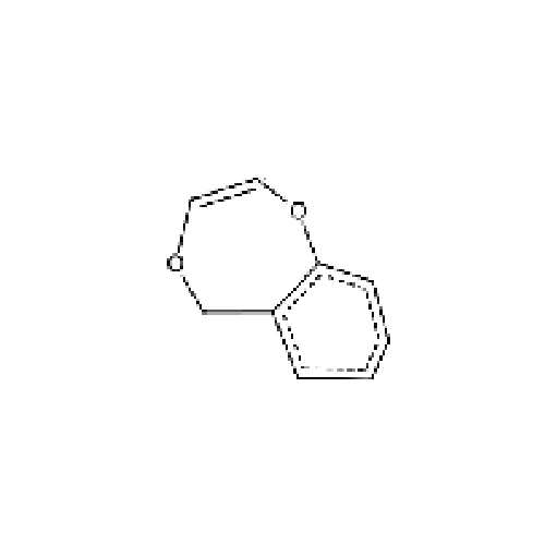 [C]1=COCc2ccccc2O1